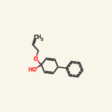 C=CCOC1(O)C=CC(c2ccccc2)C=C1